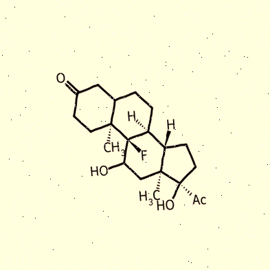 CC(=O)[C@@]1(O)CC[C@H]2[C@@H]3CCC4CC(=O)CC[C@]4(C)[C@@]3(F)C(O)C[C@@]21C